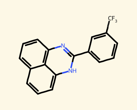 FC(F)(F)c1cccc(C2=Nc3cccc4cccc(c34)N2)c1